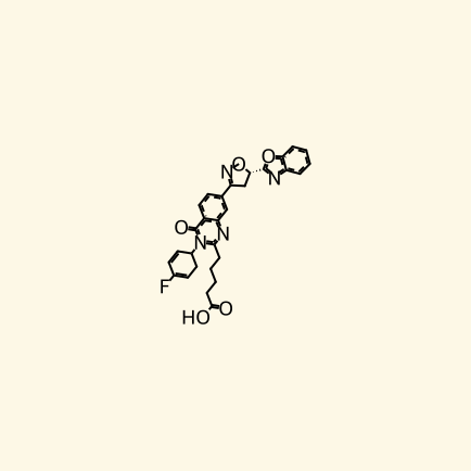 O=C(O)CCCCc1nc2cc(C3=NO[C@H](c4nc5ccccc5o4)C3)ccc2c(=O)n1C1C=CC(F)=CC1